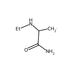 [CH2]C(NCC)C(N)=O